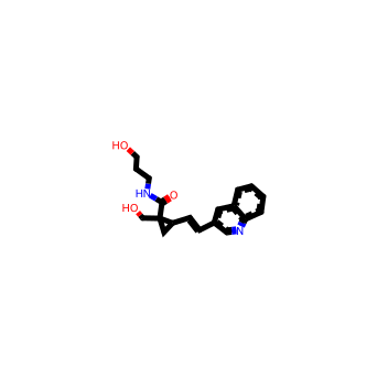 O=C(NCCCO)C1(CO)CC1C=Cc1cnc2ccccc2c1